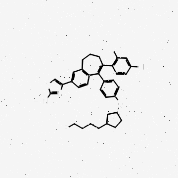 Nc1nc(-c2ccc3c(c2)CCCC(c2ccc(Cl)cc2Cl)=C3c2ccc(O[C@H]3CCC(CCCCF)C3)cc2)cs1